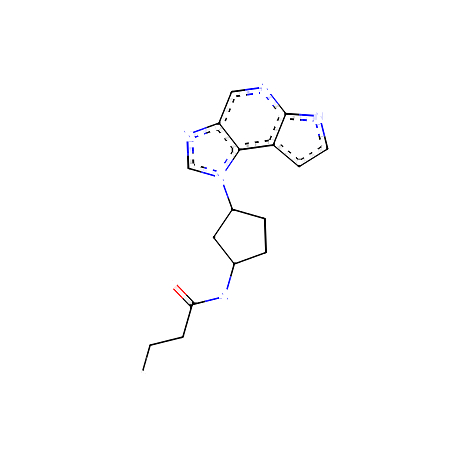 O=C(CCC(F)(F)F)NC1CCC(n2cnc3cnc4[nH]ccc4c32)C1